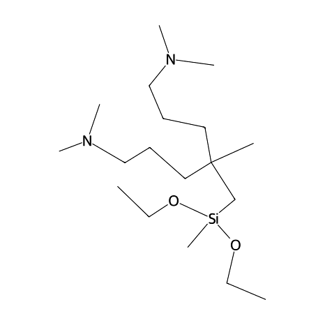 CCO[Si](C)(CC(C)(CCCN(C)C)CCCN(C)C)OCC